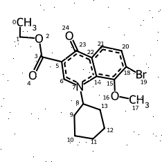 CCOC(=O)c1cn(C2CCCCC2)c2c(OC)c(Br)ccc2c1=O